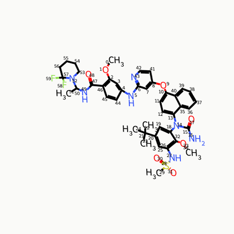 COc1cc(Nc2cc(Oc3ccc(N(C(N)=O)c4cc(C(C)(C)C)cc(NS(C)(=O)=O)c4OC)c4ccccc34)ccn2)ccc1C(=O)NC(C)N1CCCCC1(F)F